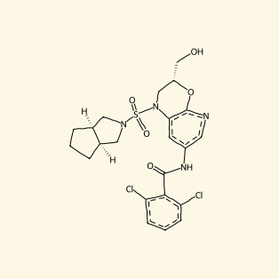 O=C(Nc1cnc2c(c1)N(S(=O)(=O)N1C[C@H]3CCC[C@H]3C1)C[C@H](CO)O2)c1c(Cl)cccc1Cl